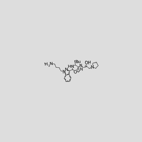 CC(C)(C)C(NC(=O)c1nn(CCCCN)c2ccccc12)C(=O)NC[C@H](O)CN1CCCC1